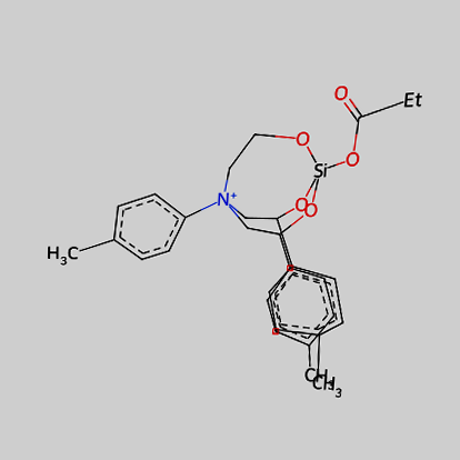 CCC(=O)O[Si]12OCC[N+](c3ccc(C)cc3)(CC(c3ccc(C)cc3)O1)CC(c1ccc(C)cc1)O2